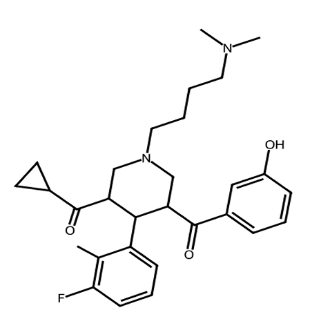 Cc1c(F)cccc1C1C(C(=O)c2cccc(O)c2)CN(CCCCN(C)C)CC1C(=O)C1CC1